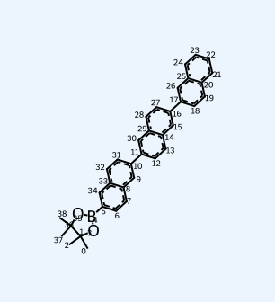 CC1(C)OB(c2ccc3cc(-c4ccc5cc(-c6ccc7ccccc7c6)ccc5c4)ccc3c2)OC1(C)C